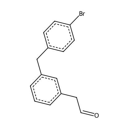 O=CCc1cccc(Cc2ccc(Br)cc2)c1